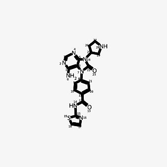 Nc1ncnc2c1n(-c1ccc(C(=O)Nc3nccs3)cc1)c(=O)n2C1CCNC1